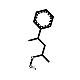 CC(CC(C)c1ccccc1)O[SiH3]